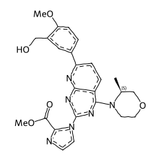 COC(=O)c1nccn1-c1nc(N2CCOC[C@@H]2C)c2ccc(-c3ccc(OC)c(CO)c3)nc2n1